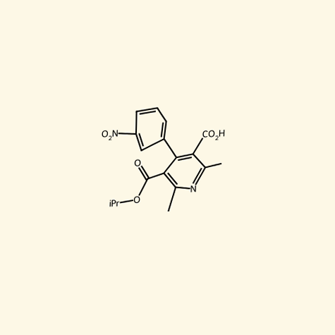 Cc1nc(C)c(C(=O)OC(C)C)c(-c2cccc([N+](=O)[O-])c2)c1C(=O)O